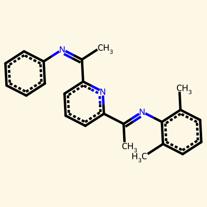 CC(=Nc1ccccc1)c1cccc(C(C)=Nc2c(C)cccc2C)n1